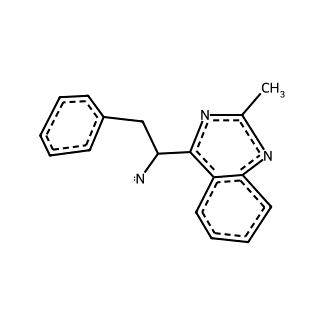 Cc1nc(C([N])Cc2ccccc2)c2ccccc2n1